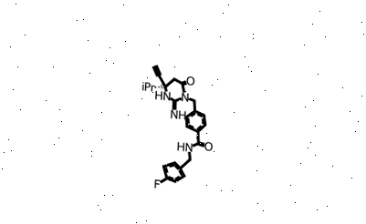 C#C[C@@]1(C(C)C)CC(=O)N(Cc2ccc(C(=O)NCc3ccc(F)cc3)cc2)C(=N)N1